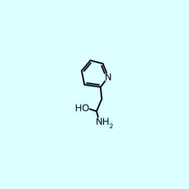 NC(O)Cc1ccccn1